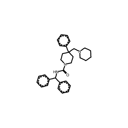 O=C(NC(c1ccccc1)c1ccccc1)N1CCC(CN2CCCCC2)(c2ccccc2)CC1